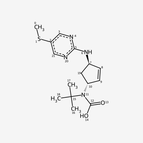 CSc1cnc(N[C@H]2C=C[C@H](N(C(=O)O)C(C)(C)C)C2)nc1